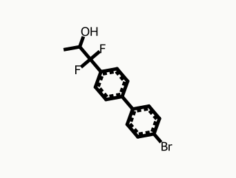 CC(O)C(F)(F)c1ccc(-c2ccc(Br)cc2)cc1